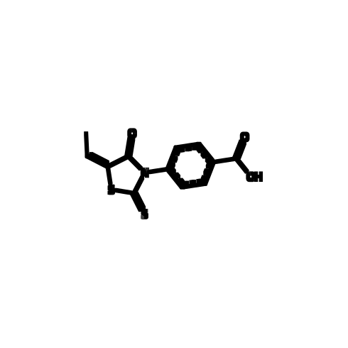 C/C=C1/SC(=S)N(c2ccc(C(=O)O)cc2)C1=O